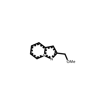 COCc1cc2ccccn2n1